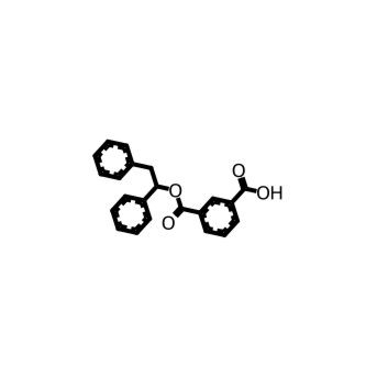 O=C(O)c1cccc(C(=O)OC(Cc2ccccc2)c2ccccc2)c1